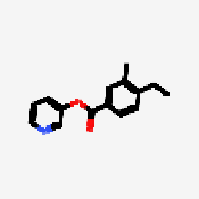 CCc1ccc(C(=O)Oc2cccnc2)cc1C